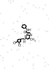 Cc1cc(NCc2ccc(Cl)c(Cl)c2)nn2c(C(=O)Nc3ccccc3)cnc12